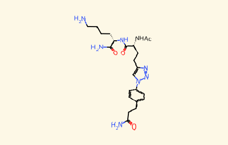 CC(=O)N[C@H](CCc1cn(-c2ccc(CCC(N)=O)cc2)nn1)C(=O)N[C@@H](CCCCN)C(N)=O